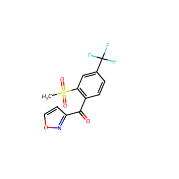 CS(=O)(=O)c1cc(C(F)(F)F)ccc1C(=O)c1ccon1